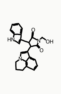 O=C1C(c2c[nH]c3ccccc23)C(c2cn3c4c(cccc24)CCC3)C(=O)N1CO